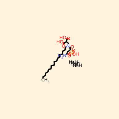 CCCCCCCCCCCCCCCCCCN(CC(C(=O)O)C(=O)O)C(=O)C(CC(N)=O)S(=O)(=O)O.[NaH].[NaH].[NaH].[NaH]